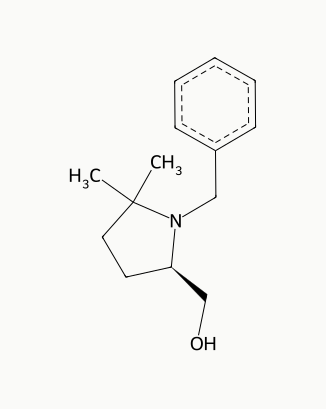 CC1(C)CC[C@H](CO)N1Cc1ccccc1